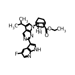 CCOC(=O)[C@@H]1C2CCC(CC2)[C@H]1n1cc(C(C)C)c2cnc(-c3c[nH]c4ncc(F)cc34)nc21